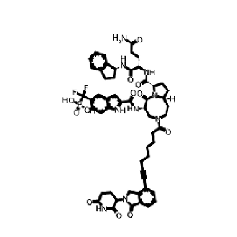 NC(=O)CC[C@H](NC(=O)[C@@H]1CC[C@@H]2CCN(C(=O)CCCCCC#Cc3cccc4c3CN(C3CCC(=O)NC3=O)C4=O)C[C@H](NC(=O)c3cc4cc(C(F)(F)P(=O)(O)O)ccc4[nH]3)C(=O)N21)C(=O)N[C@@H]1CCc2ccccc21